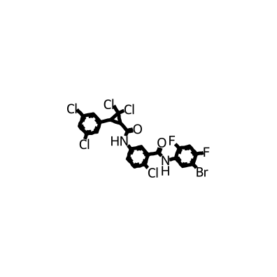 O=C(Nc1cc(Br)c(F)cc1F)c1cc(NC(=O)C2C(c3cc(Cl)cc(Cl)c3)C2(Cl)Cl)ccc1Cl